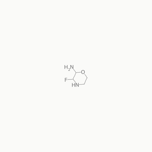 NC1OCCNC1F